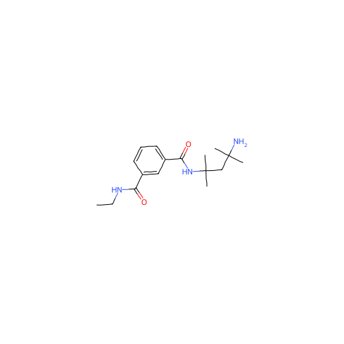 CCNC(=O)c1cccc(C(=O)NC(C)(C)CC(C)(C)N)c1